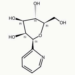 OC[C@H]1O[C@@H](c2ccccn2)[C@@H](O)[C@@H](O)[C@@H]1O